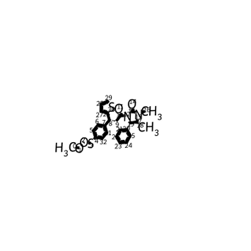 COOSc1ccc([C@@H](CC(=O)N2C(=O)N(C)[C@H](C)[C@@H]2c2ccccc2)c2cccs2)cc1